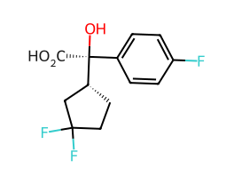 O=C(O)[C@](O)(c1ccc(F)cc1)[C@@H]1CCC(F)(F)C1